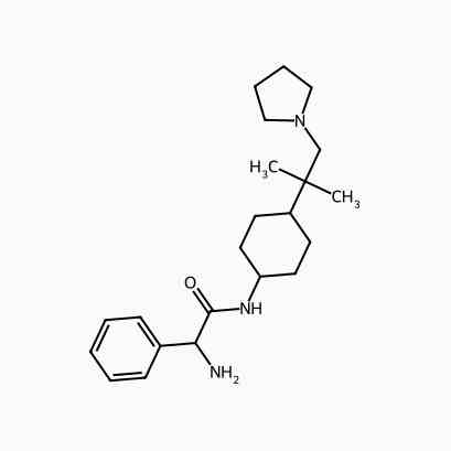 CC(C)(CN1CCCC1)C1CCC(NC(=O)C(N)c2ccccc2)CC1